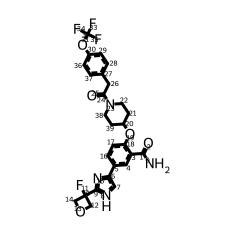 NC(=O)c1cc(-c2c[nH]c(C3(F)COC3)n2)ccc1OC1CCN(C(=O)Cc2ccc(OC(F)(F)F)cc2)CC1